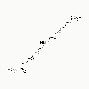 O=C(O)CCCCOCOCCNCCOCOCCCC(=O)C(=O)O